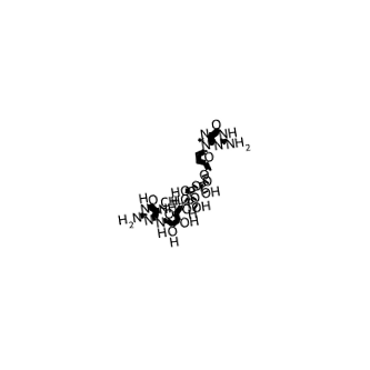 CNc1c(NC2OC(CO[PH](O)(O)OP(O)OP(O)OOCC3CCC(n4cnc5c(=O)[nH]c(N)nc54)O3)C(O)C2O)nc(N)[nH]c1=O